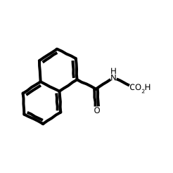 O=C(O)NC(=O)c1cccc2ccccc12